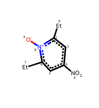 CCc1cc([N+](=O)[O-])cc(CC)[n+]1[O-]